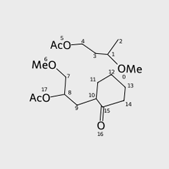 COC(C)CCOC(C)=O.COCC(CC1CCCCC1=O)OC(C)=O